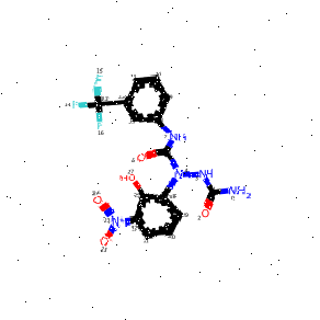 NC(=O)NN(C(=O)Nc1cccc(C(F)(F)F)c1)c1cccc([N+](=O)[O-])c1O